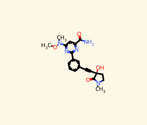 CON(C)c1cc(C(N)=O)nc(-c2cccc(C#C[C@]3(O)CCN(C)C3=O)c2)n1